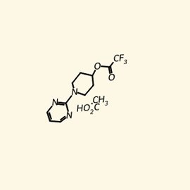 CC(=O)O.O=C(OC1CCN(c2ncccn2)CC1)C(F)(F)F